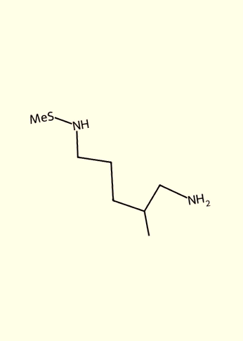 CSNCCCC(C)CN